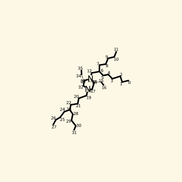 CCCCCCC(CCCCC)CN1[C@H](CC)CN(CCCCC(CCCC)CCCC)C[C@@H]1CC